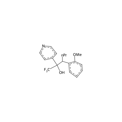 CCCC(c1ccccc1OC)C(O)(c1ccncc1)C(F)(F)F